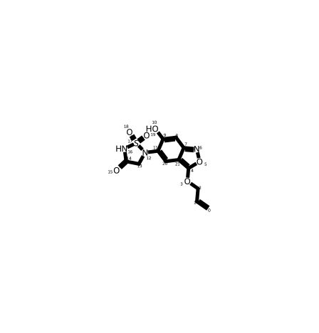 C=CCOc1onc2cc(O)c(N3CC(=O)NS3(=O)=O)cc12